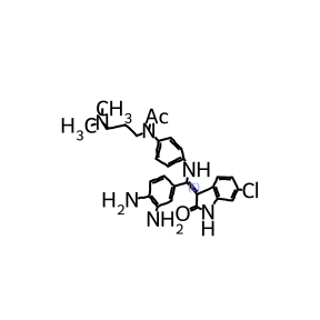 CC(=O)N(CCCN(C)C)c1ccc(N/C(=C2/C(=O)Nc3cc(Cl)ccc32)c2ccc(N)c(N)c2)cc1